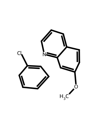 COc1ccc2cccnc2c1.Clc1ccccc1